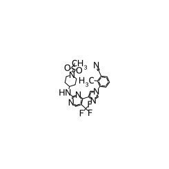 Cc1c(C#N)cccc1-n1cnc(-c2nc(NC3CCN(S(C)(=O)=O)CC3)ncc2C(F)(F)F)c1